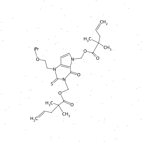 C=CCC(C)(C)C(=O)OCn1c(=O)c2c(ccn2COC(=O)C(C)(C)CC=C)n(CCOC(C)C)c1=S